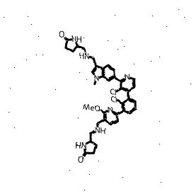 COc1nc(-c2cccc(-c3ccnc(-c4ccc5c(CNCC6CCC(=O)N6)cn(C)c5c4)c3Cl)c2Cl)ccc1CNCC1CCC(=O)N1